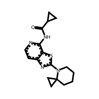 O=C(Nc1nccc2nc(N3CCCCC34CC4)sc12)C1CC1